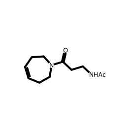 CC(=O)NCCC(=O)N1CCC=CCC1